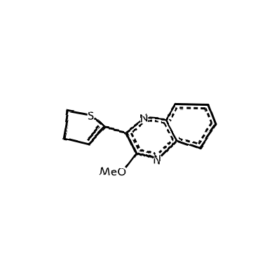 COc1nc2ccccc2nc1C1=CCCS1